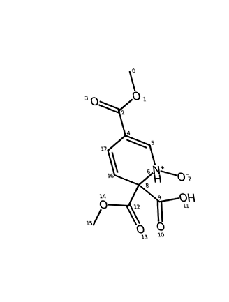 COC(=O)C1=C[NH+]([O-])C(C(=O)O)(C(=O)OC)C=C1